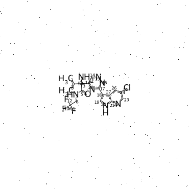 CC(C)[C@@](N)(C(=O)NCC(F)(F)F)c1cnnc(-c2c[nH]c3ncc(Cl)cc23)n1